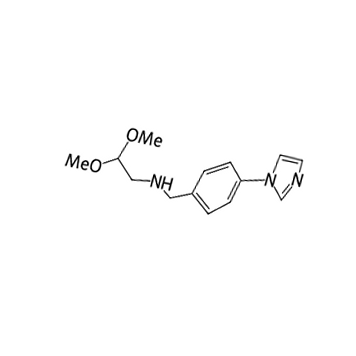 COC(CNCc1ccc(-n2ccnc2)cc1)OC